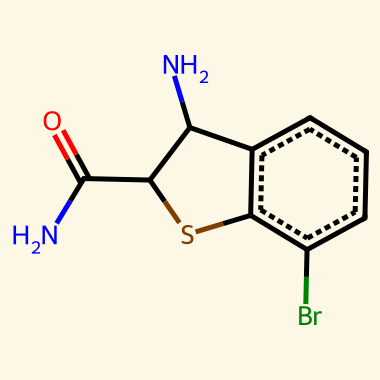 NC(=O)C1Sc2c(Br)cccc2C1N